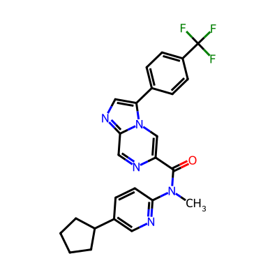 CN(C(=O)c1cn2c(-c3ccc(C(F)(F)F)cc3)cnc2cn1)c1ccc(C2CCCC2)cn1